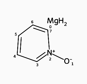 [MgH2].[O-][n+]1ccccc1